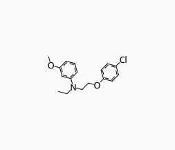 CCN(CCOc1ccc(Cl)cc1)c1cccc(OC)c1